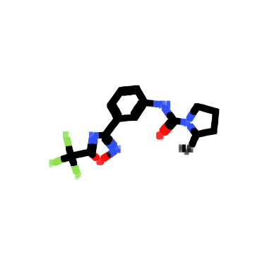 CC1CCCN1C(=O)Nc1cccc(-c2noc(C(F)(F)F)n2)c1